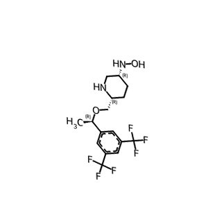 C[C@@H](OC[C@H]1CC[C@@H](NO)CN1)c1cc(C(F)(F)F)cc(C(F)(F)F)c1